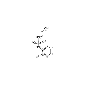 O=S(=O)(NCCO)Nc1ccccc1F